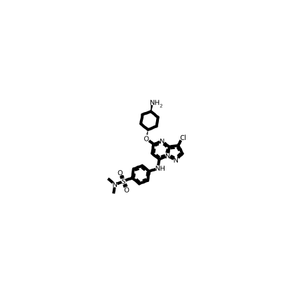 CN(C)S(=O)(=O)c1ccc(Nc2cc(O[C@H]3CC[C@H](N)CC3)nc3c(Cl)cnn23)cc1